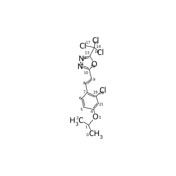 CC(C)Oc1ccc(C=Cc2nnc(C(Cl)(Cl)Cl)o2)c(Cl)c1